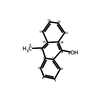 Cc1c2ccccc2c(O)c2ccccc12